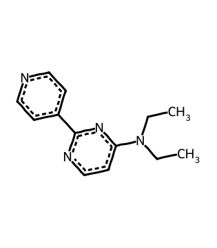 CCN(CC)c1ccnc(-c2ccncc2)n1